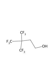 OCCC(C(F)(F)F)(C(F)(F)F)C(F)(F)F